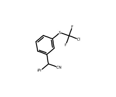 CC(C)C(C#N)c1cccc(SC(F)(F)Cl)c1